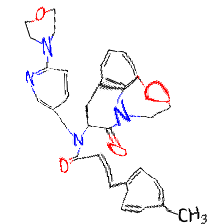 Cc1ccc(/C=C/C(=O)N(Cc2ccc(N3CCOCC3)nc2)[C@@H](Cc2ccccc2)C(=O)N2CCOCC2)cc1